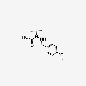 COc1ccc(CNN(C(=O)O)C(C)(C)C)cc1